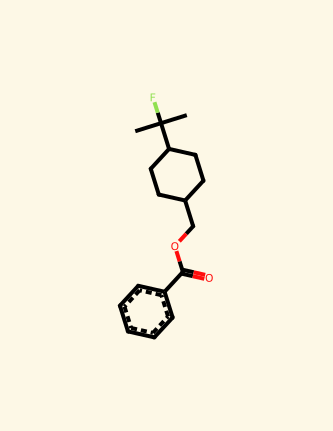 CC(C)(F)C1CCC(COC(=O)c2ccccc2)CC1